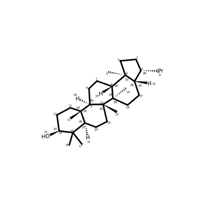 CC(C)[C@H]1CC[C@]2(C)[C@H]3CC[C@@H]4[C@@]5(C)CC[C@H](O)C(C)(C)[C@@H]5CC[C@@]4(C)[C@]3(C)CC[C@@H]12